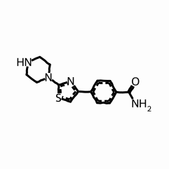 NC(=O)c1ccc(-c2csc(N3CCNCC3)n2)cc1